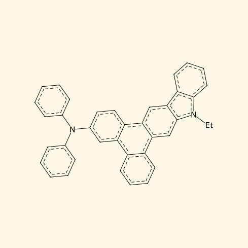 CCn1c2ccccc2c2cc3c4ccc(N(c5ccccc5)c5ccccc5)cc4c4ccccc4c3cc21